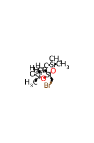 C[Si](C)(C)O[Si](C)(CBr)O[Si](C)(C)C